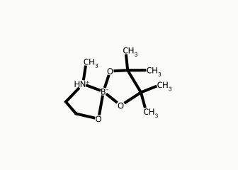 C[NH+]1CCO[B-]12OC(C)(C)C(C)(C)O2